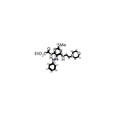 CCOC(=O)C(=O)Nc1nc(SC)nc(NCCN2CCOCC2)c1/N=N/c1ccccc1